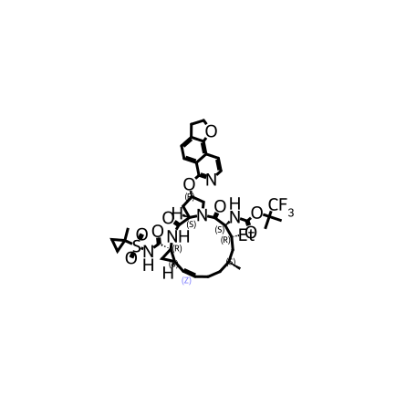 CC[C@@H]1C[C@@H](C)CC/C=C\[C@@H]2C[C@@]2(C(=O)NS(=O)(=O)C2(C)CC2)NC(=O)[C@@H]2C[C@@H](Oc3nccc4c5c(ccc34)CCO5)CN2C(=O)[C@H]1NC(=O)OC(C)(C)C(F)(F)F